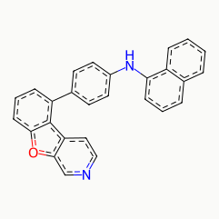 c1ccc2c(Nc3ccc(-c4cccc5oc6cnccc6c45)cc3)cccc2c1